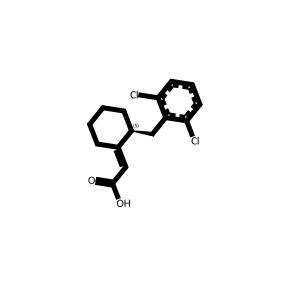 O=C(O)C=C1CCCC[C@H]1Cc1c(Cl)cccc1Cl